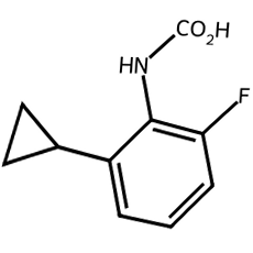 O=C(O)Nc1c(F)cccc1C1CC1